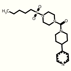 CCCCCS(=O)(=O)N1CCN(C(=O)N2CCC(c3ccncc3)CC2)CC1